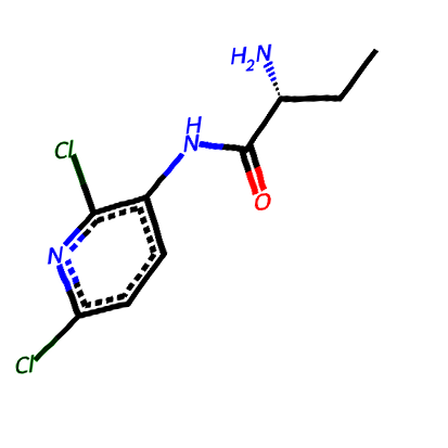 CC[C@@H](N)C(=O)Nc1ccc(Cl)nc1Cl